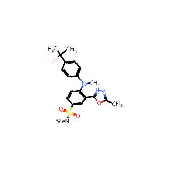 BC(C)(C)c1ccc(N(C)c2ccc(S(=O)(=O)NC)cc2-c2nnc(C)o2)cc1